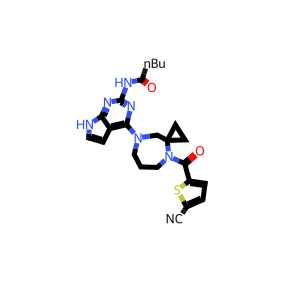 CCCCC(=O)Nc1nc(N2CCCN(C(=O)c3ccc(C#N)s3)C3(CC3)C2)c2cc[nH]c2n1